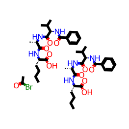 CC(=O)Br.CCCC[C@H](NC(=O)[C@H](C)NC(=O)[C@@H](NC(=O)c1ccccc1)C(C)C)C(=O)O.CCCC[C@H](NC(=O)[C@H](C)NC(=O)[C@@H](NC(=O)c1ccccc1)C(C)C)C(=O)O